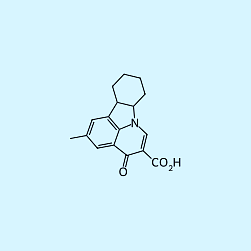 Cc1cc2c3c(c1)c(=O)c(C(=O)O)cn3C1CCCCC21